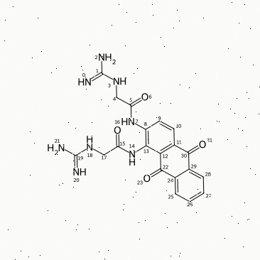 N=C(N)NCC(=O)Nc1ccc2c(c1NC(=O)CNC(=N)N)C(=O)c1ccccc1C2=O